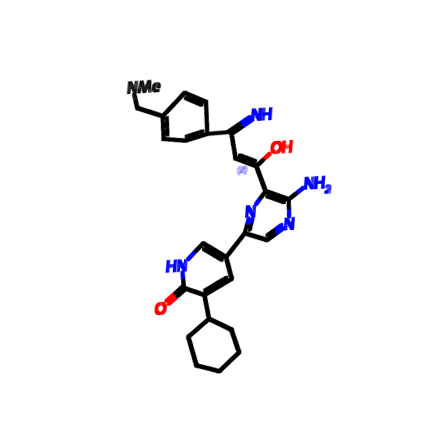 CNCc1ccc(C(=N)/C=C(\O)c2nc(-c3c[nH]c(=O)c(C4CCCCC4)c3)cnc2N)cc1